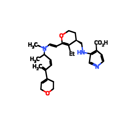 C=C(/C=C\C(C)N(C)/C=C/C1=C(CC)[C@H](CNc2cnccc2C(=O)O)CCO1)C1=CCOCC1